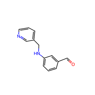 O=Cc1cccc(NCc2cccnc2)c1